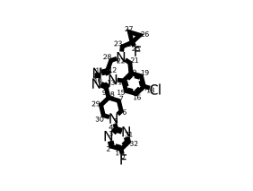 Fc1cnc(N2CCC(c3nnc4n3-c3ccc(Cl)cc3CN(CC3(F)CC3)C4)CC2)nc1